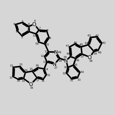 c1ccc2c(c1)oc1ccc(-c3cc(-c4ccc5oc6ccccc6c5c4)nc(-n4c5ccccc5c5c6oc7ccccc7c6ccc54)n3)cc12